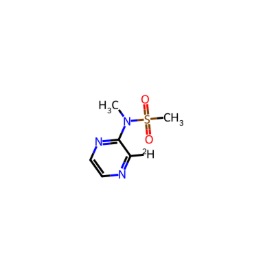 [2H]c1nccnc1N(C)S(C)(=O)=O